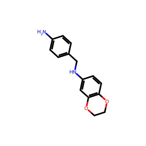 Nc1ccc(CNc2ccc3c(c2)OCCO3)cc1